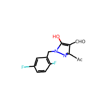 CC(=O)c1nn(Cc2cc(F)ccc2F)c(O)c1C=O